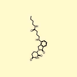 CCCCNC(=O)CCCNc1cccc2c1CN(C1CCC(=O)NC1=O)C2=O